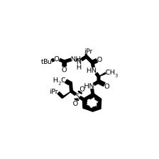 C=C[C@H](CC(C)C)S(=O)(=O)c1ccccc1NC(=O)[C@H](C)NC(=O)[C@@H](NNC(=O)OC(C)(C)C)C(C)C